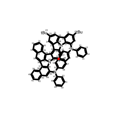 CC(C)(C)c1cc(N(c2ccccc2)c2ccccc2)c2c(c1)c1cc(C(C)(C)C)cc3c4c5c6c7ccccc7cc7c8c9ccccc9cc(N(c9ccccc9)c9ccccc9)c8n(c5ccc4n2c13)c76